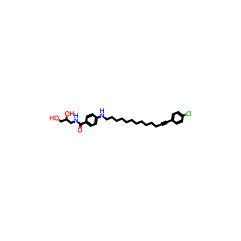 O=C(NCC(O)CO)c1ccc(NCCCCCCCCCCCC#Cc2ccc(Cl)cc2)cc1